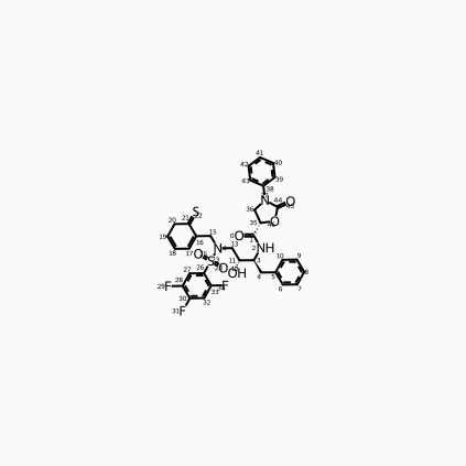 O=C(N[C@@H](Cc1ccccc1)[C@H](O)CN(CC1=CC=CCC1=S)S(=O)(=O)c1cc(F)c(F)cc1F)[C@@H]1CN(c2ccccc2)C(=O)O1